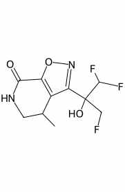 CC1CNC(=O)c2onc(C(O)(CF)C(F)F)c21